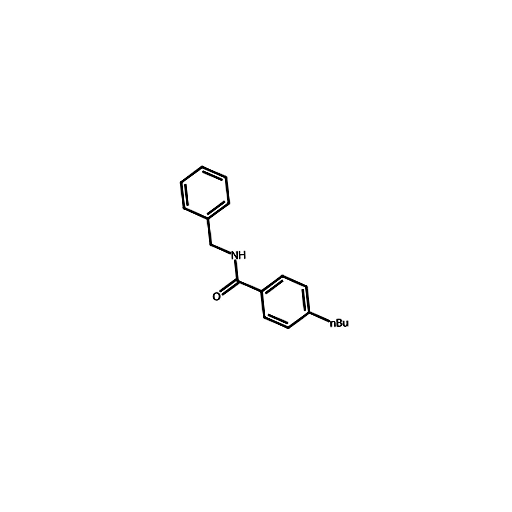 CCCCc1ccc(C(=O)NCc2ccccc2)cc1